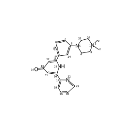 C[N+]1(C)CCN(c2ccnc(-c3cc(=O)cc(-c4ccccn4)[nH]3)c2)CC1